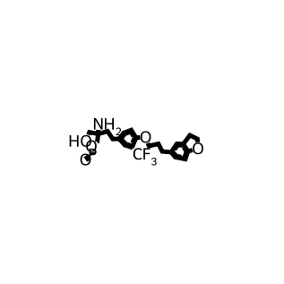 NC(CO)(CCc1ccc(OCCCc2ccc3c(c2)CCO3)c(C(F)(F)F)c1)COP=O